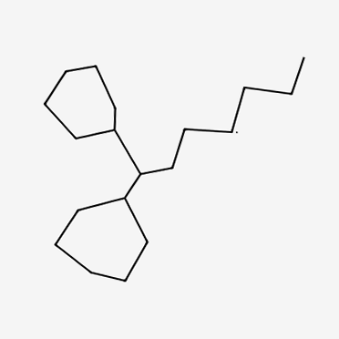 CCC[CH]CCC(C1CCCCC1)C1CCCCC1